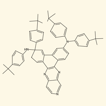 CC(C)(C)c1ccc(NC2(c3ccc(C(C)(C)C)cc3)C=c3c(c4nc5ccncc5nc4c4ccc(N(c5ccc(C(C)(C)C)cc5)c5ccc(C(C)(C)C)cc5)cc34)=CC2)cc1